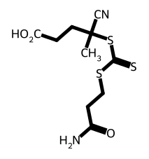 CC(C#N)(CCC(=O)O)SC(=S)SCCC(N)=O